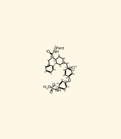 CCCCCNC(=O)N(Cc1ccccc1)C1CCN(Cc2ccc(Oc3ccc(NS(C)(=O)=O)cc3)cc2)CC1.Cl